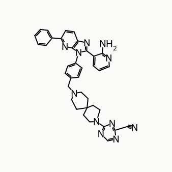 N#Cc1ncnc(N2CCC3(CCN(Cc4ccc(-n5c(-c6cccnc6N)nc6ccc(-c7ccccc7)nc65)cc4)CC3)CC2)n1